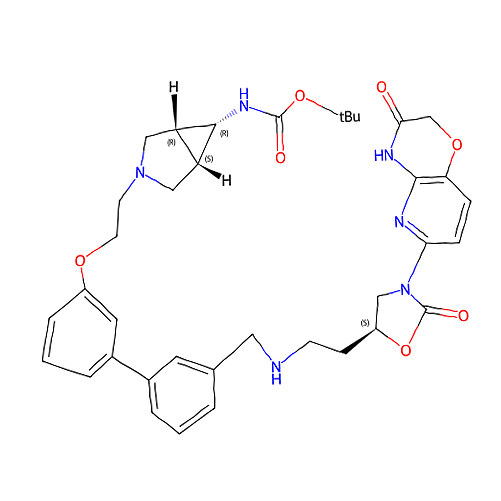 CC(C)(C)OC(=O)N[C@@H]1[C@@H]2CN(CCOc3cccc(-c4cccc(CNCC[C@H]5CN(c6ccc7c(n6)NC(=O)CO7)C(=O)O5)c4)c3)C[C@@H]21